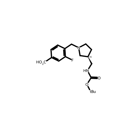 CC(C)(C)OC(=O)NC[C@@H]1CCN(Cc2ccc(C(=O)O)cc2F)C1